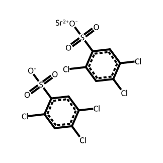 O=S(=O)([O-])c1cc(Cl)c(Cl)cc1Cl.O=S(=O)([O-])c1cc(Cl)c(Cl)cc1Cl.[Sr+2]